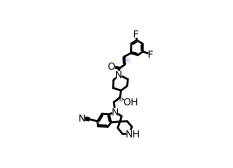 N#Cc1ccc2c(c1)N(C[C@@H](O)C1CCN(C(=O)/C=C/c3cc(F)cc(F)c3)CC1)CC21CCNCC1